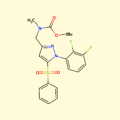 CN(Cc1cc(S(=O)(=O)c2ccccc2)n(-c2cccc(F)c2F)n1)C(=O)OC(C)(C)C